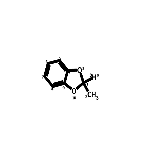 [2H]C1(C)Oc2ccccc2O1